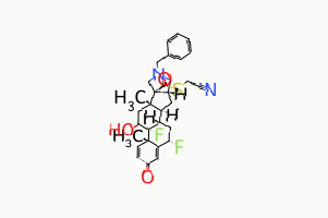 C[C@]12C=CC(=O)C=C1[C@@H](F)C[C@H]1[C@@H]3C[C@H]4CN(Cc5ccccc5)C[C@@]4(C(=O)SCC#N)[C@@]3(C)C[C@H](O)[C@@]12F